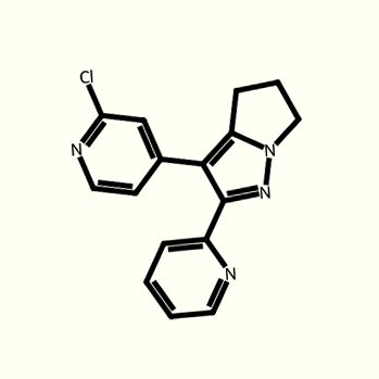 Clc1cc(-c2c(-c3ccccn3)nn3c2CCC3)ccn1